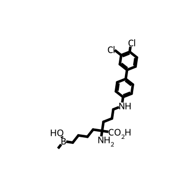 CB(O)CCCCC(N)(CCCNc1ccc(-c2ccc(Cl)c(Cl)c2)cc1)C(=O)O